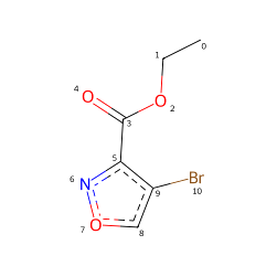 CCOC(=O)c1nocc1Br